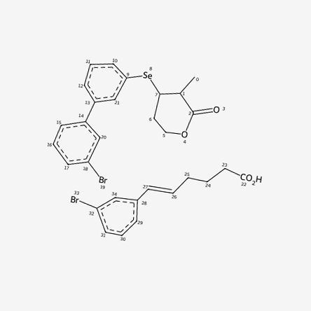 CC1C(=O)OCCC1[Se]c1cccc(-c2cccc(Br)c2)c1.O=C(O)CCCC=Cc1cccc(Br)c1